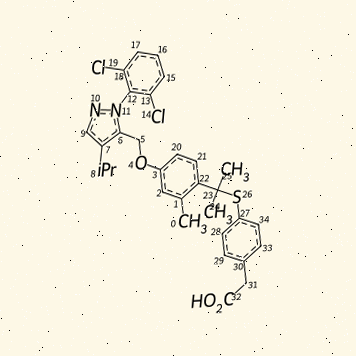 Cc1cc(OCc2c(C(C)C)cnn2-c2c(Cl)cccc2Cl)ccc1C(C)(C)Sc1ccc(CC(=O)O)cc1